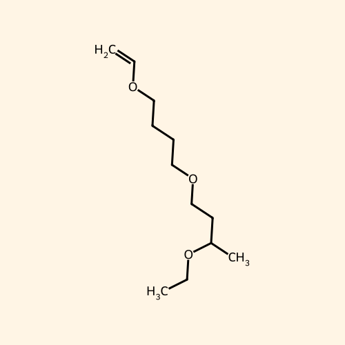 C=COCCCCOCCC(C)OCC